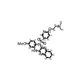 COc1cccc(Nc2nc3ccccc3nc2NS(=O)(=O)c2ccc(OCCN(C)C)nc2)c1